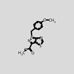 COC(=O)c1nn(Cc2ccc(OC)cc2)c2ncsc12